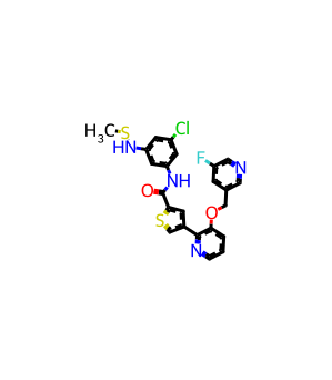 CSNc1cc(Cl)cc(NC(=O)c2cc(-c3ncccc3OCc3cncc(F)c3)cs2)c1